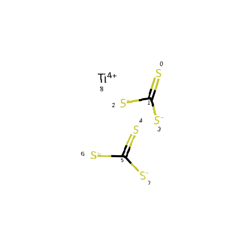 S=C([S-])[S-].S=C([S-])[S-].[Ti+4]